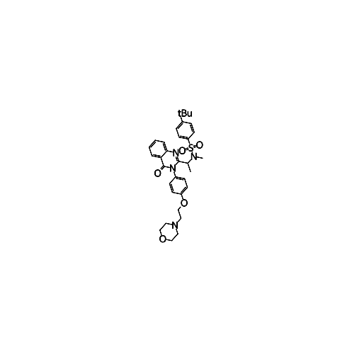 CC(c1nc2ccccc2c(=O)n1-c1ccc(OCCN2CCOCC2)cc1)N(C)S(=O)(=O)c1ccc(C(C)(C)C)cc1